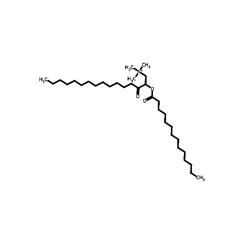 CCCCCCCCCCCCCC(=O)OC(C[N+](C)(C)C)C(=O)CCCCCCCCCCCCC